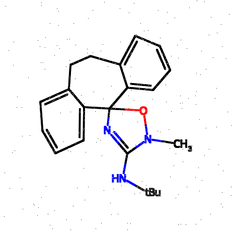 CN1OC2(N=C1NC(C)(C)C)c1ccccc1CCc1ccccc12